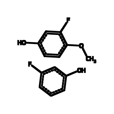 COc1ccc(O)cc1F.Oc1cccc(F)c1